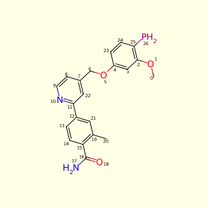 COc1cc(OCc2ccnc(-c3ccc(C(N)=O)c(C)c3)c2)ccc1P